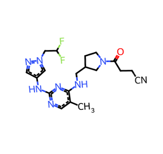 Cc1cnc(Nc2cnn(CC(F)F)c2)nc1NCC1CCN(C(=O)CCC#N)C1